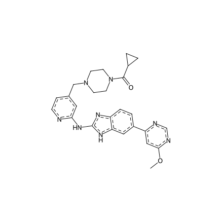 COc1cc(-c2ccc3nc(Nc4cc(CN5CCN(C(=O)C6CC6)CC5)ccn4)[nH]c3c2)ncn1